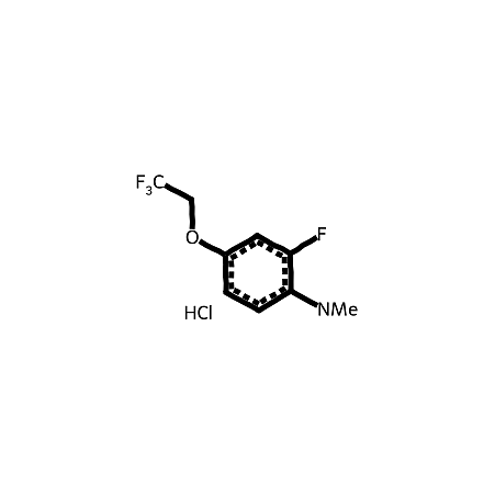 CNc1ccc(OCC(F)(F)F)cc1F.Cl